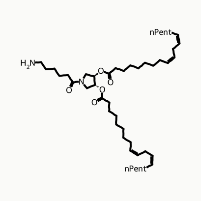 CCCCC/C=C\C/C=C\CCCCCCCC(=O)O[C@@H]1CN(C(=O)CCCCCN)C[C@H]1OC(=O)CCCCCCC/C=C\C/C=C\CCCCC